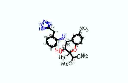 COC(OC)[C@@]1(C)Oc2ccc([N+](=O)[O-])cc2[C@@H](Nc2ccccc2Cc2nnn[nH]2)[C@@H]1O